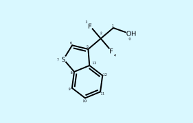 OCC(F)(F)c1csc2ccccc12